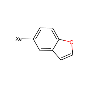 [Xe]c1ccc2occc2c1